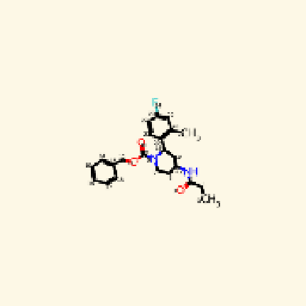 CCC(=O)NC1CCN(C(=O)OCc2ccccc2)C(c2ccc(F)cc2C)C1